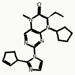 CC[C@@H]1C(=O)N(C)c2cnc(-n3ccnc3C3C=CCC3)nc2N1C1CCCC1